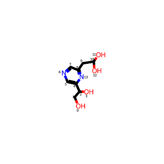 OCC(O)c1cncc(CC(O)O)n1